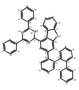 c1ccc(C2=NC(c3cc(-c4ccccc4-c4ccccc4-c4ccccc4)cc4sc5ccccc5c34)NC(c3ccccc3)=N2)cc1